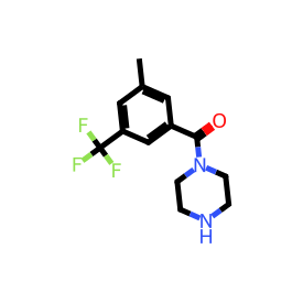 Cc1cc(C(=O)N2CCNCC2)cc(C(F)(F)F)c1